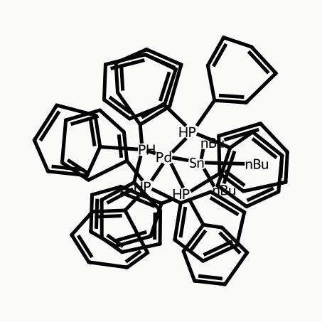 CCC[CH2][Sn]([CH2]CCC)([CH2]CCC)[Pd]([PH](c1ccccc1)(c1ccccc1)c1ccccc1)([PH](c1ccccc1)(c1ccccc1)c1ccccc1)([PH](c1ccccc1)(c1ccccc1)c1ccccc1)[PH](c1ccccc1)(c1ccccc1)c1ccccc1